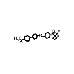 CC(=O)c1ccc(-c2ccc(OCC3CCN(C(=O)C4(C(F)(F)F)CCC4)CC3)cc2)cc1